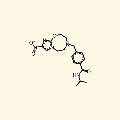 CC(C)NC(=O)c1ccc(CN2CCOc3nc([N+](=O)[O-])cn3CC2)cc1